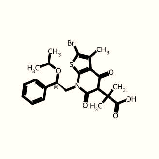 Cc1c(Br)sc2c1C(=O)C(C(C)(C)C(=O)O)C(=O)N2C[C@H](OC(C)C)c1ccccc1